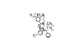 Cc1ccc(C(=O)N(CCCN)C(c2nc3cc(Cl)ccc3n2Cc2ccccc2)C(C)C)cc1